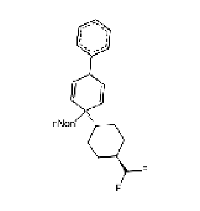 CCCCCCCCCC1([C@H]2CC[C@H](C(F)F)CC2)C=CC(c2ccccc2)C=C1